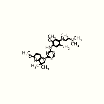 COc1ccc2c(n1)C(C)(C)CN2c1ncnc(Nc2cc(N)c(N(C)CCN(C)C)cc2OC)n1